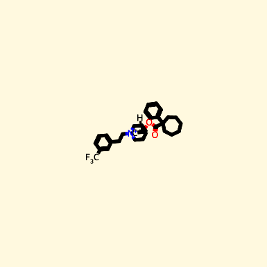 O=C(O[C@H]1C[N+]2(CCc3cccc(C(F)(F)F)c3)CCC1CC2)C1(c2ccccc2)CCCCCC1